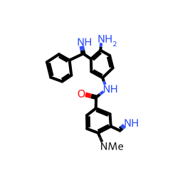 CNc1ccc(C(=O)Nc2ccc(N)c(C(=N)c3ccccc3)c2)cc1C=N